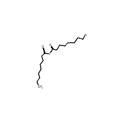 CCCCCCCCC(=O)OC(=O)CCCCCCCBr